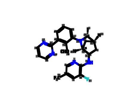 C[C@@H]1[C@H]2C[C@@H](Nc3ncc(C(F)(F)F)cc3F)[C@H](C2)N1c1cccc(-c2ncccn2)c1C=O